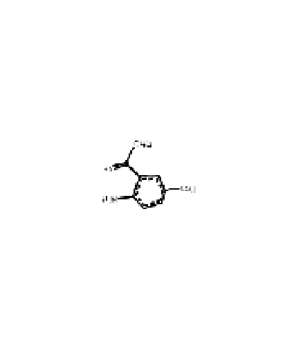 N=C(C=O)c1cc(C(=O)O)ccc1N